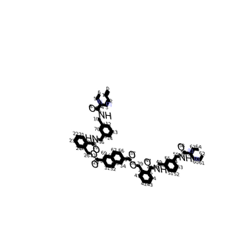 C=C/C=C\C(=C/C)C(=O)NCc1cccc(CNC(=O)c2ccccc2COC(=O)c2ccc3cc(C(=O)OCc4ccccc4C(=O)NCc4cccc(CNC(=O)C(/C=C\C)=C/C)c4)ccc3c2)c1